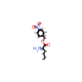 CCCC[C@H](N)C(=O)OCc1ccc([N+](=O)[O-])cc1